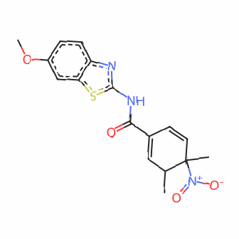 COc1ccc2nc(NC(=O)C3=CC(C)C(C)([N+](=O)[O-])C=C3)sc2c1